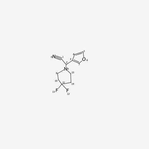 N#CC(c1ccoc1)N1CCC(F)(F)CC1